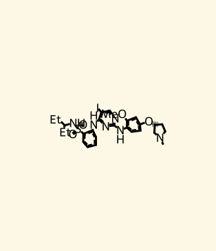 CCC(CC)NS(=O)(=O)c1ccccc1Nc1nc(Nc2ccc(O[C@@H]3CCN(C)C3)cc2OC)ncc1I